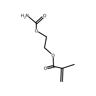 C=C(C)C(=O)OCCOC(N)=O